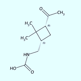 CC(=O)[C@@H]1C[C@H](CNC(=O)O)C1(C)C